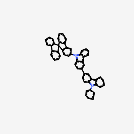 c1ccc(-n2c3ccccc3c3cc(-c4ccc5c(c4)c4ccccc4n5-c4ccc5c(c4)-c4ccccc4C54c5ccccc5-c5ccccc54)ccc32)cc1